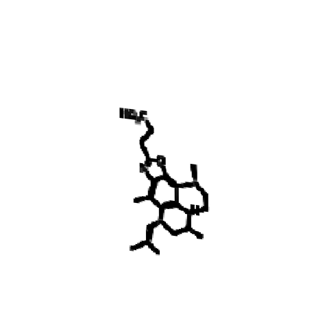 CC(C)=C[C@@H]1C[C@H](C)[C@H]2CC[C@H](C)c3c2c1c(C)c1nc(CCC(=O)O)oc31